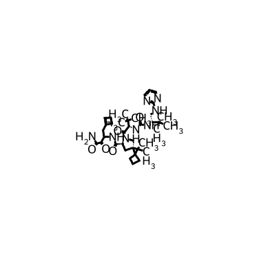 CC(C)(C)[C@H](NC(=O)N[C@H](CNc1ncccn1)C(C)(C)C)C(=O)N1C[C@]2(C[C@H]1C(=O)NC(CC1CCC1)C(=O)C(N)=O)C(C)(C)C21CCC1